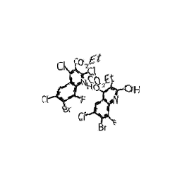 CCOC(=O)c1c(Cl)nc2c(F)c(Br)c(Cl)cc2c1Cl.CCOC(=O)c1c(O)nc2c(F)c(Br)c(Cl)cc2c1O